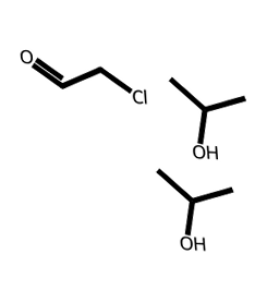 CC(C)O.CC(C)O.O=CCCl